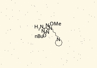 CCCCOc1nc(N)c2nc(OC)n(CCCCCN3CCCCCCC3)c2n1